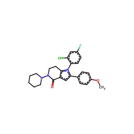 COc1ccc(-c2cc3c(n2-c2ccc(F)cc2Cl)CCN(N2CCCCC2)C3=O)cc1